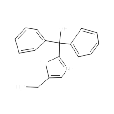 BCc1cnc(C(O)(c2ccccc2)c2ccccc2)o1